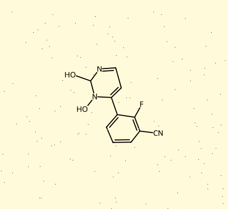 N#Cc1cccc(C2=CC=NC(O)N2O)c1F